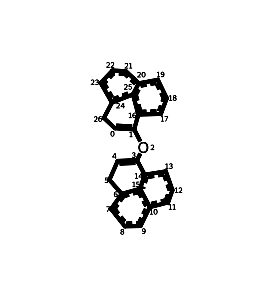 C1=C(OC2=CCc3cccc4cccc2c34)c2cccc3cccc(c23)C1